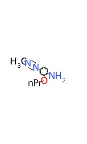 CCCOc1cc(N2CCN(C)CC2)ccc1N